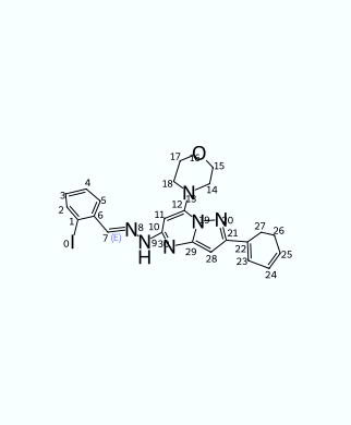 Ic1ccccc1/C=N/Nc1cc(N2CCOCC2)n2nc(C3=CC=CCC3)cc2n1